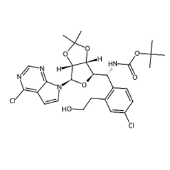 CC(C)(C)OC(=O)N[C@H](c1ccc(Cl)cc1CCO)[C@H]1O[C@@H](n2ccc3c(Cl)ncnc32)[C@@H]2OC(C)(C)O[C@@H]21